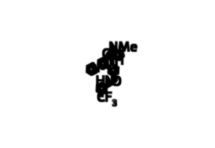 CNCC1(C(=O)Nc2ccc(N3CCCCC3)cc2-c2cc(C(=O)NCc3cccc(C(F)(F)F)c3)ccn2)CC=CC=N1